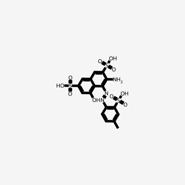 Cc1ccc(N=Nc2c(N)c(S(=O)(=O)O)cc3cc(S(=O)(=O)O)cc(O)c23)c(S(=O)(=O)O)c1